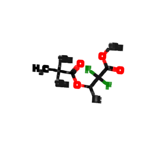 CCC(OC(=O)C(C)(C(C)(C)C)C(C)(C)C)C(F)(F)C(=O)OC(C)(C)C